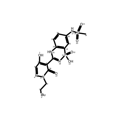 CCC(C)CCn1ncc(O)c(C2=NP(=O)(O)c3cc(NS(C)(=O)=O)ccc3N2)c1=O